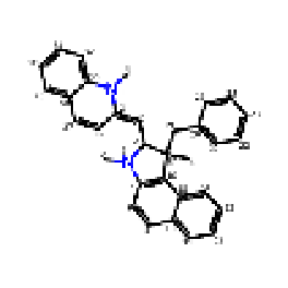 CN1/C(=C/C2N(C)c3ccc4ccccc4c3C2(C)Cc2ccccc2)C=Cc2ccccc21